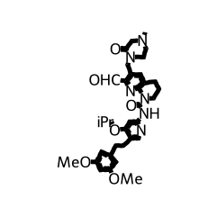 COc1cc(CCc2cnc(NC(=O)N3CCCc4cc(CN5CCN(C)CC5=O)c(C=O)nc43)cc2OC(C)C)cc(OC)c1